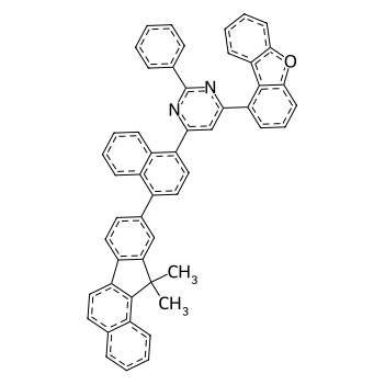 CC1(C)c2cc(-c3ccc(-c4cc(-c5cccc6oc7ccccc7c56)nc(-c5ccccc5)n4)c4ccccc34)ccc2-c2ccc3ccccc3c21